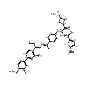 C=C/C(=C\N=C(/C)c1ccc(C[C@H](NC(=O)c2ccc(C(C)(C)C)s2)C(=O)N2CC(C(=O)O)C2)cc1)c1ccc(-c2ccc(CF)c(C)c2)cc1F